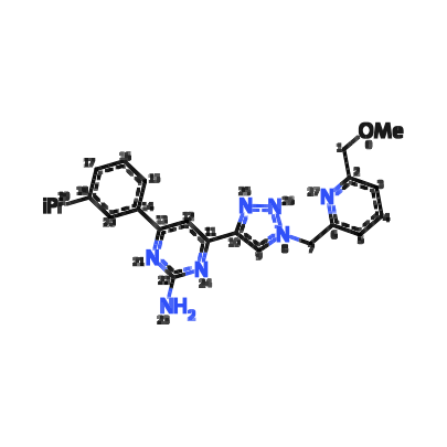 COCc1cccc(Cn2cc(-c3cc(-c4cccc(C(C)C)c4)nc(N)n3)nn2)n1